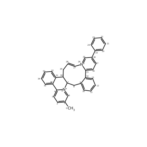 Cc1ccc2[n+](c1)C1Cc3ccccc3-c3ccc(-c4ccccc4)c[n+]3/C=C/CC1c1ccccc1-2